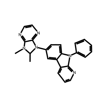 CC1N(C)c2nccnc2N1c1ccc2c(c1)c1cccnc1n2-c1ccccc1